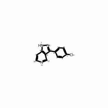 Clc1ccc(-c2n[nH]c3ccncc23)cc1